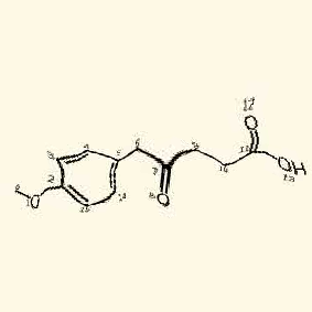 COc1ccc(CC(=O)CCC(=O)O)cc1